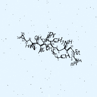 CC=C=CC(/C=C/C(=N)/C=C/[C@H](CC)CNCCC)=C(/C(C)CC(C)C)N(C)/C(O)=C(\C(C)=O)C(O)C(=N)CCC1CC1